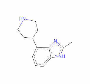 Cc1nc2c(C3CCNCC3)cccc2[nH]1